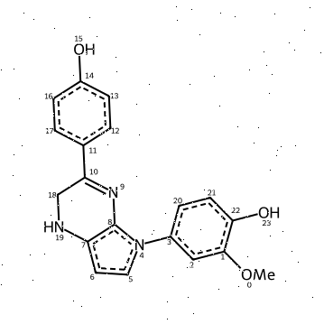 COc1cc(-n2ccc3c2N=C(c2ccc(O)cc2)CN3)ccc1O